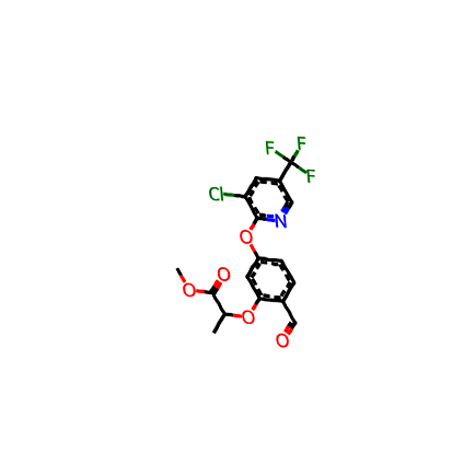 COC(=O)C(C)Oc1cc(Oc2ncc(C(F)(F)F)cc2Cl)ccc1C=O